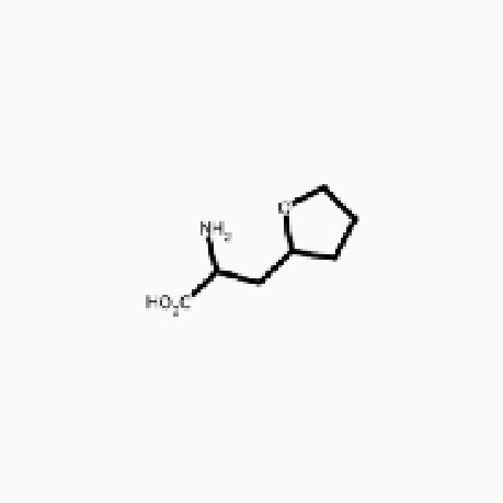 NC(CC1CCCO1)C(=O)O